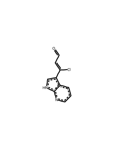 O=CC=C(Cl)c1c[nH]c2ncccc12